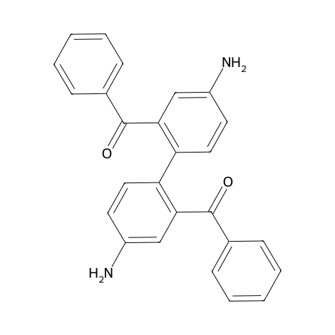 Nc1ccc(-c2ccc(N)cc2C(=O)c2ccccc2)c(C(=O)c2ccccc2)c1